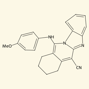 COc1ccc(Nc2c3c(c(C#N)c4nc5ccccc5n24)CCCC3)cc1